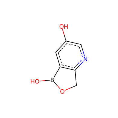 OB1OCc2ncc(O)cc21